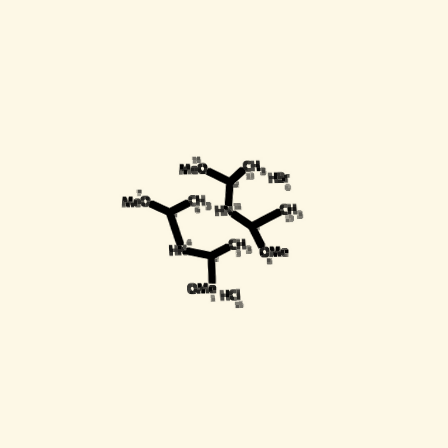 Br.COC(C)NC(C)OC.COC(C)NC(C)OC.Cl